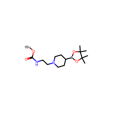 CC(C)(C)OC(=O)NCCN1CCC(B2OC(C)(C)C(C)(C)O2)CC1